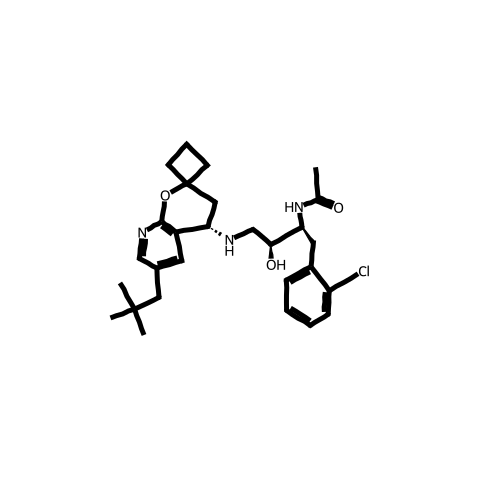 CC(=O)N[C@@H](Cc1ccccc1Cl)[C@@H](O)CN[C@H]1CC2(CCC2)Oc2ncc(CC(C)(C)C)cc21